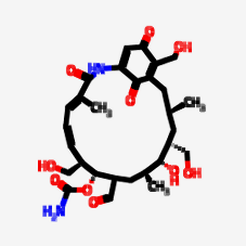 C/C1=C\C=C/[C@H](CO)[C@@H](OC(N)=O)C(C=O)C[C@H](C)[C@@H](O)[C@@H](CO)C[C@H](C)CC2=C(CO)C(=O)C=C(NC1=O)C2=O